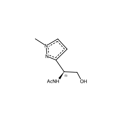 CC(=O)N[C@H](CO)c1ccn(C)n1